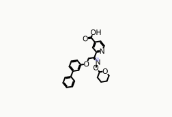 O=C(O)c1ccnc(/C(COc2cccc(-c3ccccc3)c2)=N/OC2CCCCO2)c1